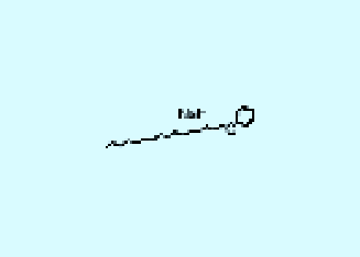 CCCCCCCCCCCCCCCCOc1ccccc1.[NaH]